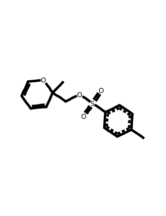 Cc1ccc(S(=O)(=O)OCC2(C)C=CC=CO2)cc1